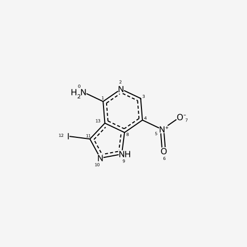 Nc1ncc([N+](=O)[O-])c2[nH]nc(I)c12